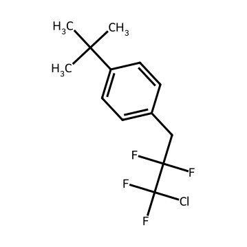 CC(C)(C)c1ccc(CC(F)(F)C(F)(F)Cl)cc1